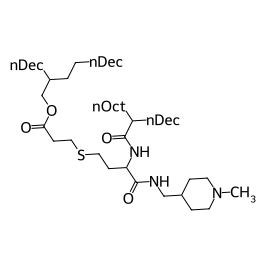 CCCCCCCCCCCCC(CCCCCCCCCC)COC(=O)CCSCCC(NC(=O)C(CCCCCCCC)CCCCCCCCCC)C(=O)NCC1CCN(C)CC1